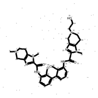 CN1CCc2c(nc(C(=O)Nc3cccc(-c4cccc(NC(=O)c5nc6c(n5C)CCN(CCO)C6)c4Cl)c3Cl)n2C)C1